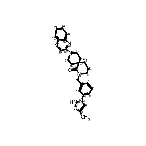 CC1=CN(c2cccc(CN3CCCC4(CCN(c5cnc6ccccc6n5)CC4)C3=O)c2)NO1